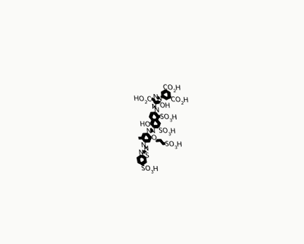 Cc1cc(N=Nc2c(S(=O)(=O)O)cc3c(S(=O)(=O)O)c(N=Nc4c(C(=O)O)nn(-c5cc(C(=O)O)cc(C(=O)O)c5)c4O)ccc3c2O)c(OCCCS(=O)(=O)O)cc1N=Nc1nc2ccc(S(=O)(=O)O)cc2s1